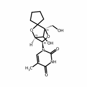 Cc1cn([C@@H]2O[C@@]3(CO)C(O)[C@@H]2OC32CCCC2)c(=O)[nH]c1=O